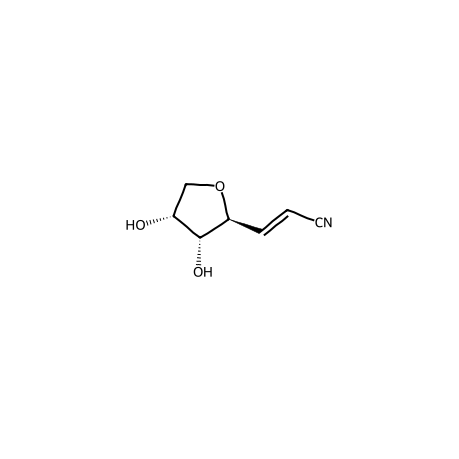 N#CC=C[C@@H]1OC[C@@H](O)[C@H]1O